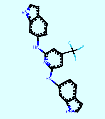 FC(F)(F)c1cc(Nc2ccc3cc[nH]c3c2)nc(Nc2ccc3cc[nH]c3c2)c1